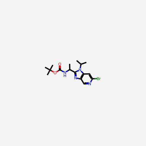 CC(NC(=O)OC(C)(C)C)c1nc2cnc(Br)cc2n1C(C)C